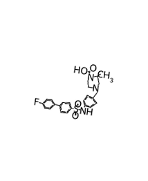 C[C@H]1CN(Cc2ccc(NS(=O)(=O)c3ccc(-c4ccc(F)cc4)cc3)cc2)CCN1C(=O)O